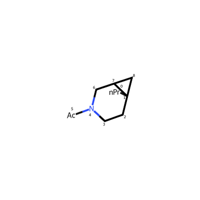 CCCC12CCN(C(C)=O)CC1C2